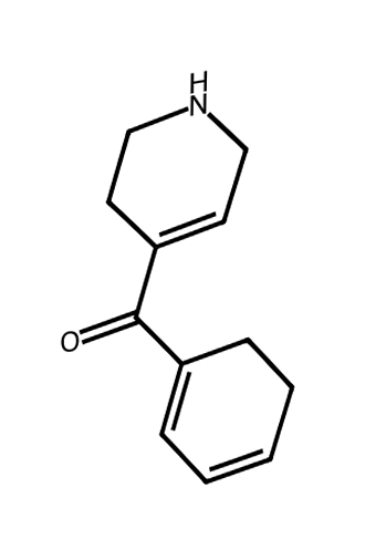 O=C(C1=CC=CCC1)C1=CCNCC1